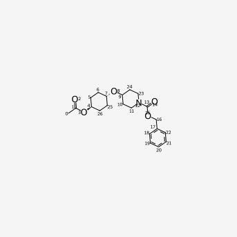 CC(=O)O[C@H]1CC[C@H](OC2CCN(C(=O)OCc3ccccc3)CC2)CC1